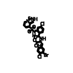 O=C(N[C@@H](Cc1ccc(Cl)c(Br)c1)C(=O)O)c1ccc(Cl)cc1NS(=O)(=O)C1=CC=CN2SNC=C12